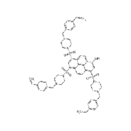 C=Cc1ccc(CN2CCN(S(=O)(=O)c3cc(O)c4ccc5c(S(=O)(=O)N6CCN(Cc7ccc(C=C)cc7)CC6)cc(S(=O)(=O)N6CCN(Cc7ccc(C=C)cc7)CC6)c6ccc3c4c56)CC2)cc1